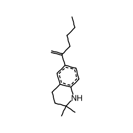 C=C(CCCC)c1ccc2c(c1)CCC(C)(C)N2